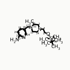 C[C@H]1CN(CCO[Si](C)(C)C(C)(C)C)CCN1Cc1ccc(N)nc1